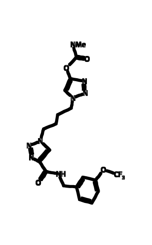 CNC(=O)Oc1cn(CCCCn2cc(C(=O)NCc3cccc(OC(F)(F)F)c3)nn2)nn1